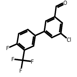 O=Cc1cc(Cl)cc(-c2ccc(F)c(C(F)(F)F)c2)c1